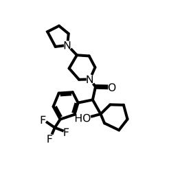 O=C(C(c1cccc(C(F)(F)F)c1)C1(O)CCCCC1)N1CCC(N2CCCC2)CC1